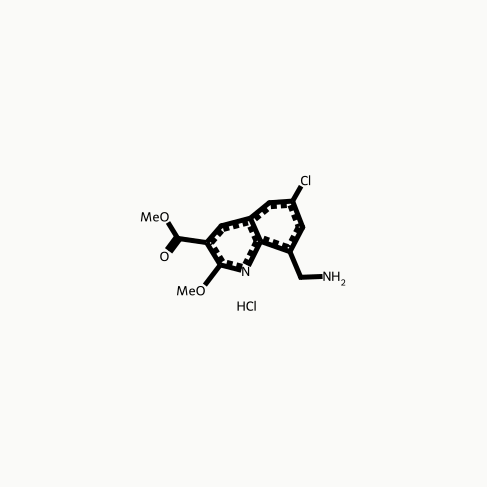 COC(=O)c1cc2cc(Cl)cc(CN)c2nc1OC.Cl